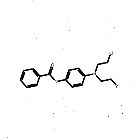 O=C(Nc1ccc(N(CCCl)CCCl)cc1)c1ccccc1